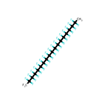 CC(F)(F)C(F)(F)C(F)(F)C(F)(F)C(F)(F)C(F)(F)C(F)(F)C(F)(F)C(F)(F)C(F)(F)C(F)(F)C(F)(F)C(F)(F)C(F)(F)C(F)(F)C(F)(F)C(F)(F)C(F)(F)F